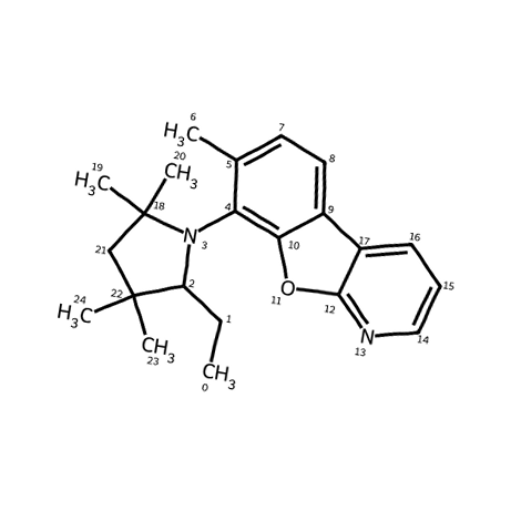 CCC1N(c2c(C)ccc3c2oc2ncccc23)C(C)(C)CC1(C)C